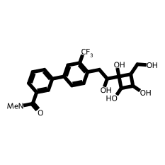 CNC(=O)c1cccc(-c2ccc(CC(O)C3(O)C(O)C(O)C3CO)c(C(F)(F)F)c2)c1